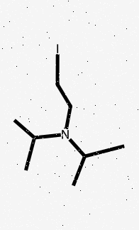 CC(C)N(CCI)C(C)C